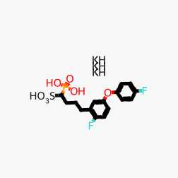 O=P(O)(O)C(CCCc1cc(Oc2ccc(F)cc2)ccc1F)S(=O)(=O)O.[KH].[KH].[KH]